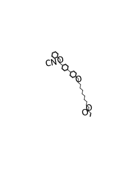 C=CC(=O)OCCCCCCCCCOc1ccc(-c2ccc(COc3ccccc3C#N)cc2)cc1